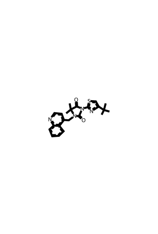 CC(C)(C)c1csc(N2C(=O)N(Cc3ccnc4ccccc34)C(C)(C)C2=O)n1